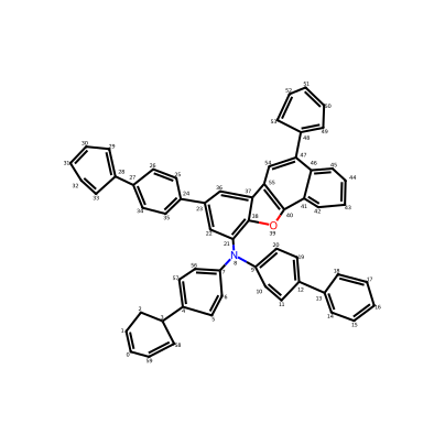 C1=CCC(c2ccc(N(c3ccc(-c4ccccc4)cc3)c3cc(-c4ccc(-c5ccccc5)cc4)cc4c3oc3c5ccccc5c(-c5ccccc5)cc43)cc2)C=C1